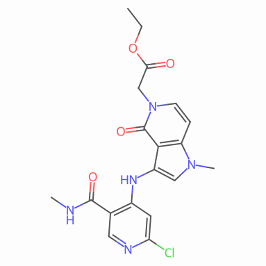 CCOC(=O)Cn1ccc2c(c(Nc3cc(Cl)ncc3C(=O)NC)cn2C)c1=O